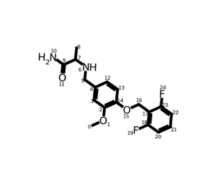 COc1cc(CNC(C)C(N)=O)ccc1OCc1c(F)cccc1F